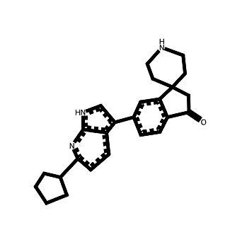 O=C1CC2(CCNCC2)c2cc(-c3c[nH]c4nc(C5CCCC5)ccc34)ccc21